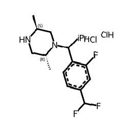 CC(C)C(c1ccc(C(F)F)cc1F)N1C[C@H](C)NC[C@H]1C.Cl.Cl